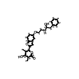 Cc1c(-c2cc3cc(OCCNC(O)Cc4ccccc4)ccc3o2)oc(=O)c(C)c1O